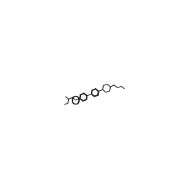 CCCCC1CCC(c2ccc(-c3ccc(OCC(C)CC)cc3)cc2)CC1